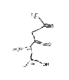 C[C@@H](O)[C@H](N)C(=O)CC(=O)C(F)(F)F